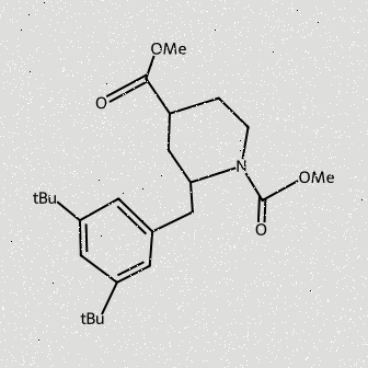 COC(=O)C1CCN(C(=O)OC)C(Cc2cc(C(C)(C)C)cc(C(C)(C)C)c2)C1